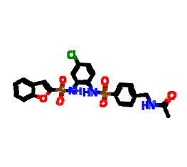 CC(=O)NCc1ccc(S(=O)(=O)Nc2ccc(Cl)cc2NS(=O)(=O)c2cc3ccccc3o2)cc1